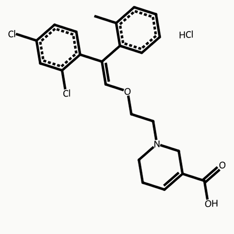 Cc1ccccc1/C(=C\OCCN1CCC=C(C(=O)O)C1)c1ccc(Cl)cc1Cl.Cl